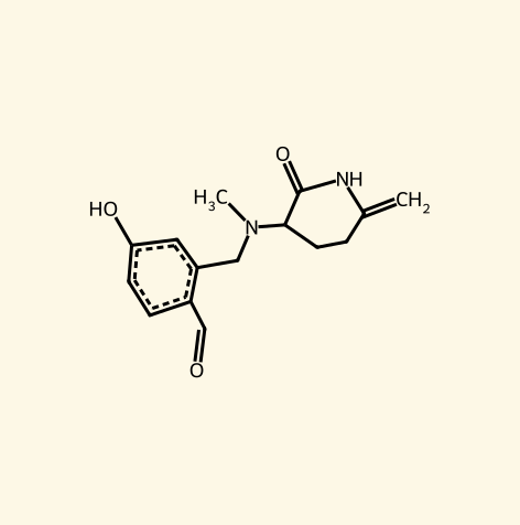 C=C1CCC(N(C)Cc2cc(O)ccc2C=O)C(=O)N1